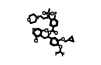 CS(=O)(=O)N(CCN1CCOCC1)c1cc(C(=O)OC(Cc2c(Cl)cncc2Cl)c2ccc(OC(F)F)c(OCC3CC3)c2)ccc1F